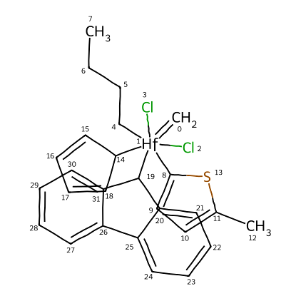 [CH2]=[Hf]([Cl])([Cl])([CH2]CCC)([c]1ccc(C)s1)([CH]1C=CC=C1)[CH]1c2ccccc2-c2ccccc21